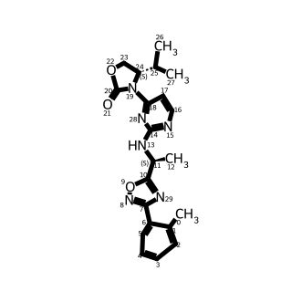 Cc1ccccc1-c1noc([C@H](C)Nc2nccc(N3C(=O)OC[C@@H]3C(C)C)n2)n1